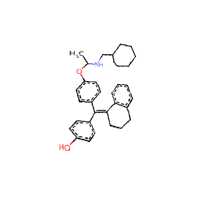 CC(NCC1CCCCC1)Oc1ccc(C(=C2CCCc3ccccc32)c2ccc(O)cc2)cc1